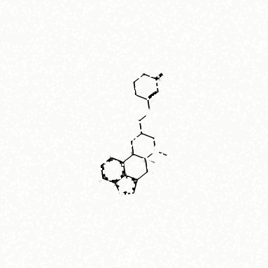 CN1CC(COC2=CC(=O)CCC2)CC2c3cccc4[nH]cc(c34)C[C@H]21